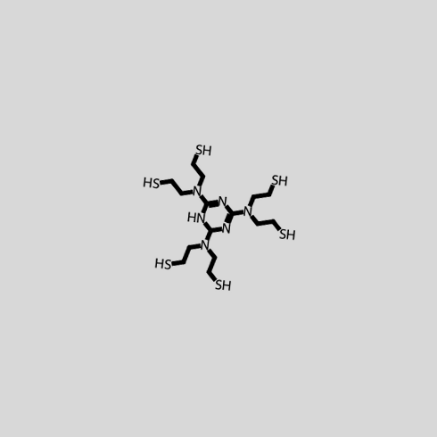 SCCN(CCS)C1=NC(N(CCS)CCS)NC(N(CCS)CCS)=N1